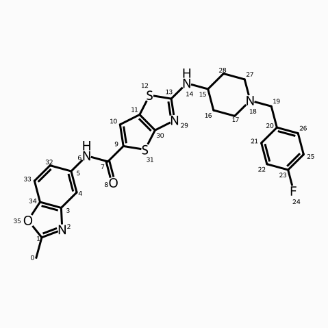 Cc1nc2cc(NC(=O)c3cc4sc(NC5CCN(Cc6ccc(F)cc6)CC5)nc4s3)ccc2o1